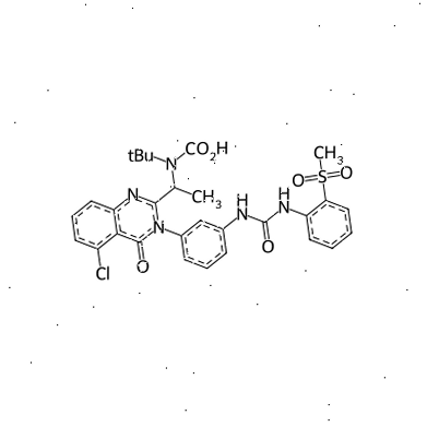 CC(c1nc2cccc(Cl)c2c(=O)n1-c1cccc(NC(=O)Nc2ccccc2S(C)(=O)=O)c1)N(C(=O)O)C(C)(C)C